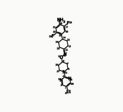 CCc1cnc(N2CCC(ON=C3CCC(c4cc(F)c(N)cc4F)CC3)CC2)nc1